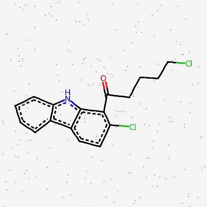 O=C(CCCCCl)c1c(Cl)ccc2c1[nH]c1ccccc12